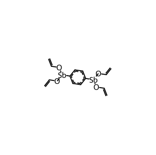 C=C[O][Sb]([O]C=C)[c]1cc[c]([Sb]([O]C=C)[O]C=C)cc1